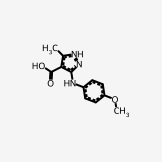 COc1ccc(Nc2n[nH]c(C)c2C(=O)O)cc1